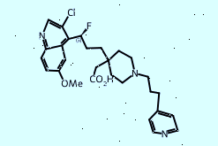 COc1ccc2ncc(Cl)c([C@@H](F)CCC3(CC(=O)O)CCN(CCCc4ccncc4)CC3)c2c1